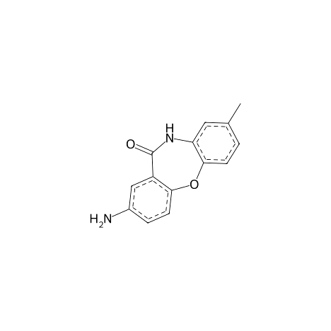 Cc1ccc2c(c1)NC(=O)c1cc(N)ccc1O2